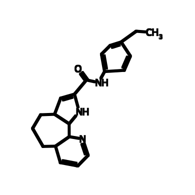 CCc1ccc(NC(=O)C2=CC3CCCC4C=CC=NC4C3N2)cc1